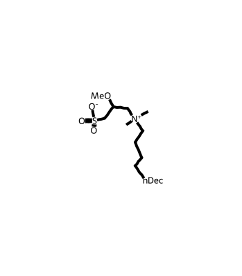 CCCCCCCCCCCCCC[N+](C)(C)CC(CS(=O)(=O)[O-])OC